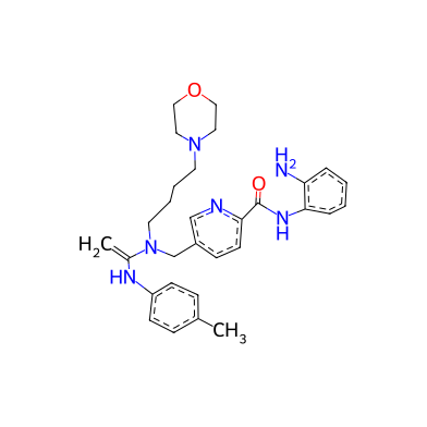 C=C(Nc1ccc(C)cc1)N(CCCCN1CCOCC1)Cc1ccc(C(=O)Nc2ccccc2N)nc1